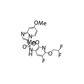 COc1ccn2c(S(=O)(=O)Nc3cc(F)c(OCC(F)F)nc3OC)cnc2c1